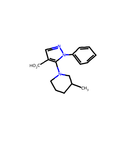 CC1CCCN(c2c(C(=O)O)cnn2-c2ccccc2)C1